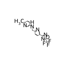 Cc1ccc(NCc2ccc(-c3noc(C(F)(F)F)n3)cn2)cn1